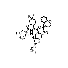 CCO[C@@H]1C[C@@H]2CN(C(=O)[C@@H](NC(=O)[C@H](CO)NC)C3CCC(F)(F)CC3)[C@H](C(=O)N[C@@H]3CCOc4ccccc43)CN2C1